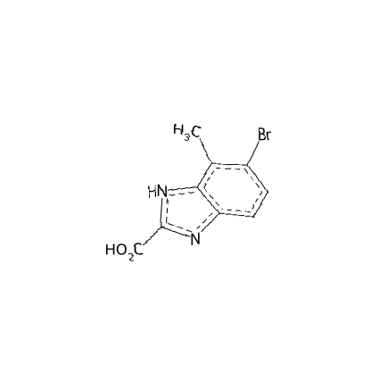 Cc1c(Br)ccc2nc(C(=O)O)[nH]c12